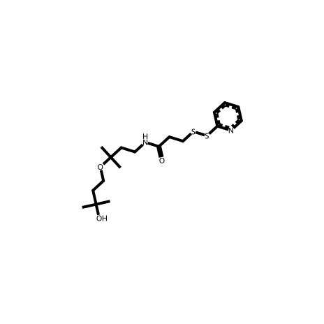 CC(C)(O)CCOC(C)(C)CCNC(=O)CCSSc1ccccn1